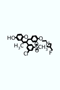 CC1=C(c2cc(Cl)cc(S(C)(=O)=O)c2)C(c2ccc(OCCN3CC(CF)C3)cc2)Oc2ccc(O)cc21